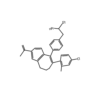 C=C(C)c1ccc2c(c1)CCCC(c1ccc(Cl)cc1C)=C2c1ccc(CC(CC)CCC)cc1